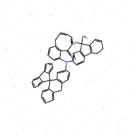 C=C1/C=C\C=C/Cc2cccc(N(c3ccc4c(c3)C(C)(C)C3=C4CCC=C3)c3ccc4c(c3)C3(c5ccccc5C4)c4ccccc4-c4ccccc43)c21